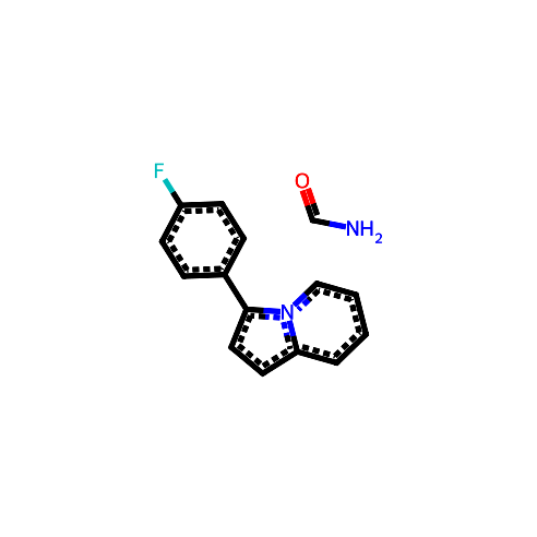 Fc1ccc(-c2ccc3ccccn23)cc1.NC=O